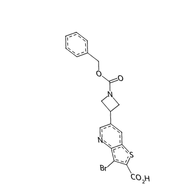 O=C(O)c1sc2cc(C3CN(C(=O)OCc4ccccc4)C3)cnc2c1Br